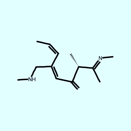 C=C(/C=C(\C=C/C)CNC)[C@H](C)/C(C)=N/C